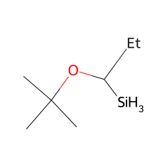 [CH2]CC([SiH3])OC(C)(C)C